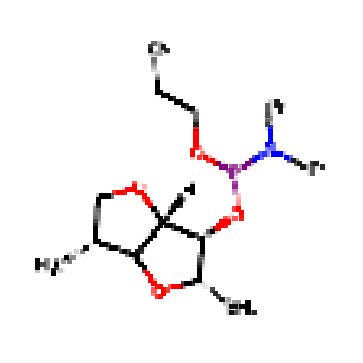 B[C@@H]1OC2[C@H](C)CO[C@@H]2[C@H]1OP(OCCC#N)N(C(C)C)C(C)C